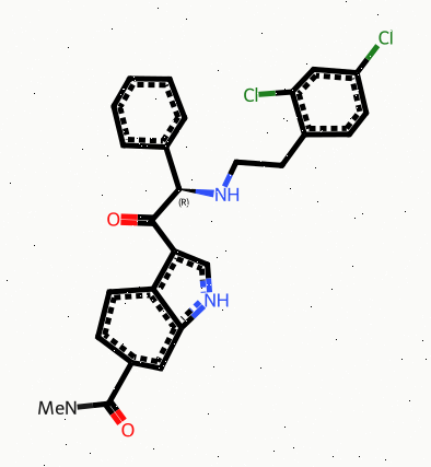 CNC(=O)c1ccc2c(C(=O)[C@H](NCCc3ccc(Cl)cc3Cl)c3ccccc3)c[nH]c2c1